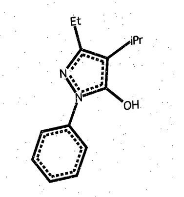 CCc1nn(-c2ccccc2)c(O)c1C(C)C